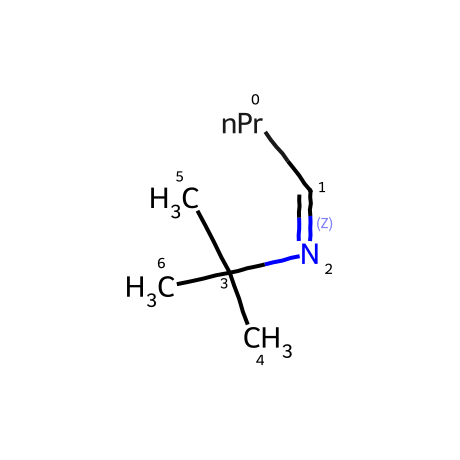 CCC/C=N\C(C)(C)C